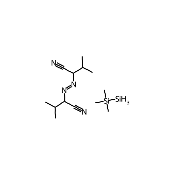 CC(C)C(C#N)N=NC(C#N)C(C)C.C[Si](C)(C)[SiH3]